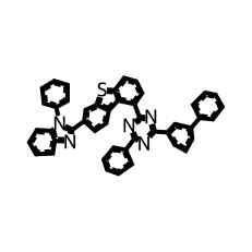 c1ccc(-c2cccc(-c3nc(-c4ccccc4)nc(-c4cccc5sc6cc(-c7nc8ccccc8n7-c7ccccc7)ccc6c45)n3)c2)cc1